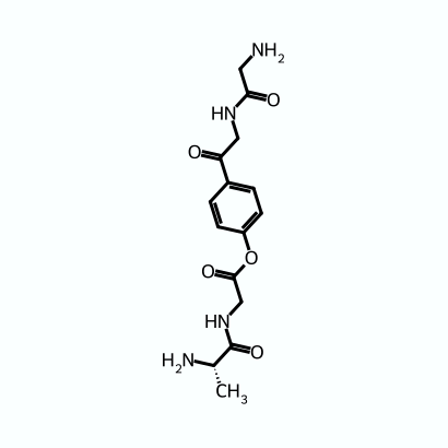 C[C@H](N)C(=O)NCC(=O)Oc1ccc(C(=O)CNC(=O)CN)cc1